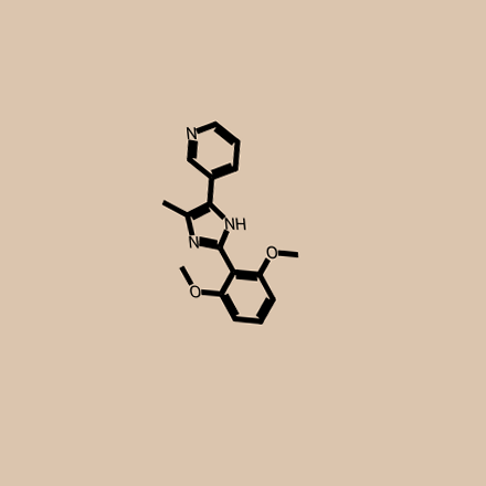 COc1cccc(OC)c1-c1nc(C)c(-c2cccnc2)[nH]1